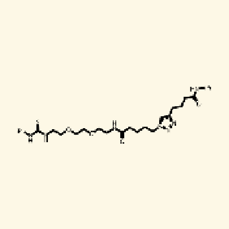 CC(C)NC(=O)CCCc1cn(CCCCC(=O)NCCOCCOCCNC(=S)NC(C)C)nn1